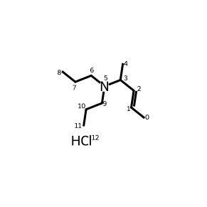 C/C=C/C(C)N(CCC)CCC.Cl